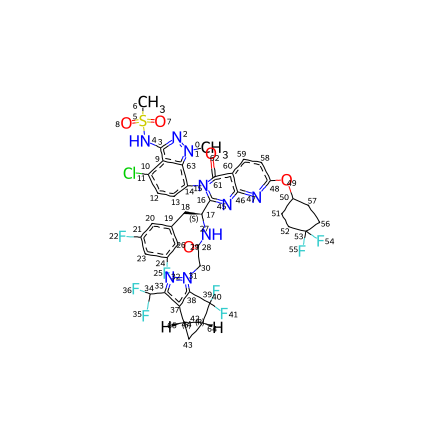 Cn1nc(NS(C)(=O)=O)c2c(Cl)ccc(-n3c([C@H](Cc4cc(F)cc(F)c4)NC(=O)Cn4nc(C(F)F)c5c4C(F)(F)[C@@H]4C[C@H]54)nc4nc(OC5CCC(F)(F)CC5)ccc4c3=O)c21